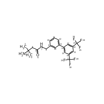 CC(C)(N)CC(=O)NCc1cccc(-c2cc(C(F)(F)F)cc(C(F)(F)F)c2)c1